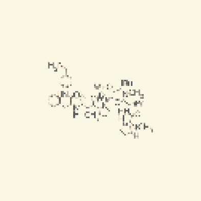 CCC(C)C(C(CC(=O)N1CCC[C@H]1C(OC)C(C)C(=O)NC(Cc1ccccc1)C(=O)Nc1ccc(CN)cc1)OC)N(C)C(=O)C(NC(=O)[C@@H]1[C@H]2CC[C@H](C2)N1C)C(C)C